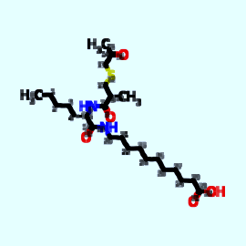 CCCCC[C@H](NC(=O)[C@@H](C)CSCC(C)=O)C(=O)NCCCCCCCCCCC(=O)O